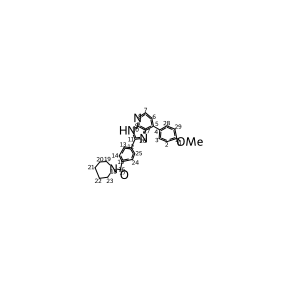 COc1ccc(-c2ccnc3[nH]c(-c4ccc(C(=O)N5CCCCC5)cc4)nc23)cc1